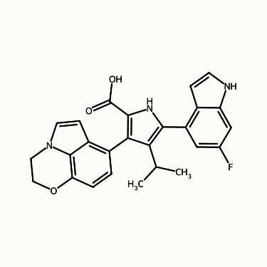 CC(C)c1c(-c2cc(F)cc3[nH]ccc23)[nH]c(C(=O)O)c1-c1ccc2c3c1ccn3CCO2